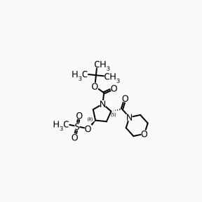 CC(C)(C)OC(=O)N1C[C@H](OS(C)(=O)=O)C[C@H]1C(=O)N1CCOCC1